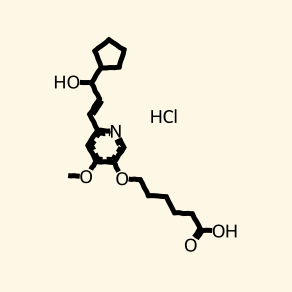 COc1cc(C=CC(O)C2CCCC2)ncc1OCCCCCC(=O)O.Cl